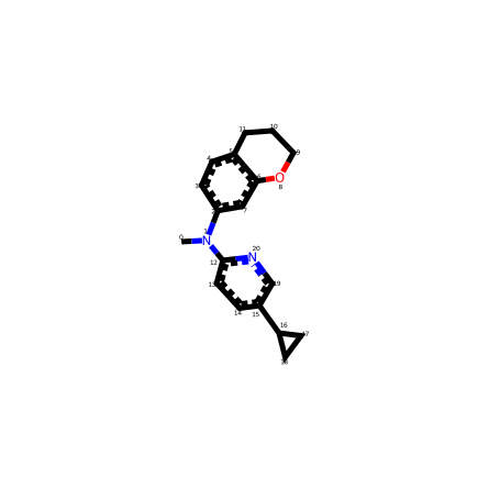 CN(c1ccc2c(c1)OCCC2)c1ccc(C2CC2)cn1